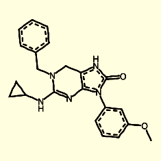 COc1cccc(-n2c3c([nH]c2=O)CN(Cc2ccccc2)C(NC2CC2)=N3)c1